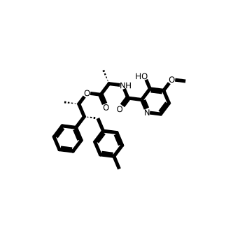 COc1ccnc(C(=O)N[C@@H](C)C(=O)O[C@@H](C)[C@H](Cc2ccc(C)cc2)c2ccccc2)c1O